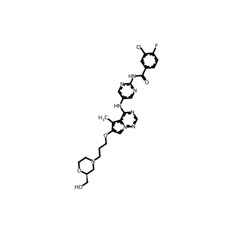 Cc1c(OCCCN2CCO[C@H](CO)C2)cn2ncnc(Nc3cnc(NC(=O)c4ccc(F)c(Cl)c4)nc3)c12